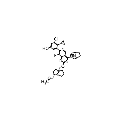 COC[C@@H]1CC[C@@]2(COc3nc(N4CC5CCC(C4)N5)c4cnc(-c5cc(O)cc(Cl)c5C5CC5)c(F)c4n3)CCCN12